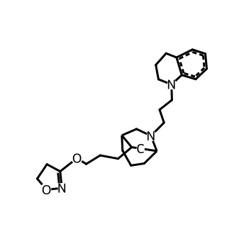 c1ccc2c(c1)CCCN2CCCN1CC2CCCC1CC2CCCOC1=NOCC1